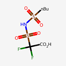 CCCCS(=O)(=O)NS(=O)(=O)C(F)(F)C(=O)O